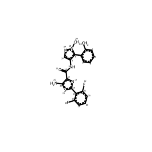 Cc1ccccc1-c1c(NC(=O)c2nc(-c3c(F)cccc3F)sc2N)cnn1C